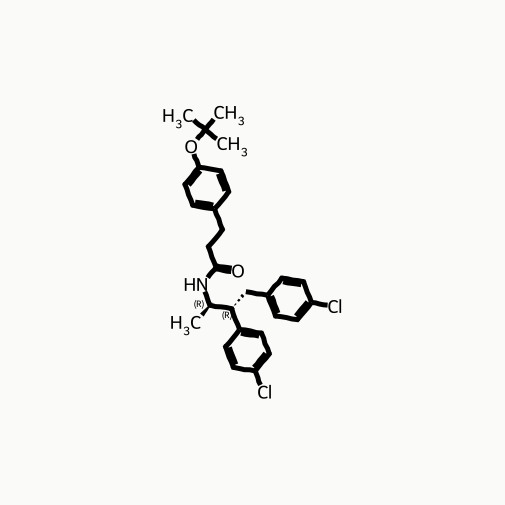 C[C@@H](NC(=O)CCc1ccc(OC(C)(C)C)cc1)[C@H](Cc1ccc(Cl)cc1)c1ccc(Cl)cc1